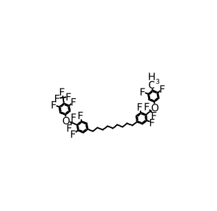 Cc1c(F)cc(OC(F)(F)c2c(F)cc(CCCCCCCCCc3cc(F)c(C(F)(F)Oc4cc(F)c(C(F)(F)F)c(F)c4)c(F)c3)cc2F)cc1F